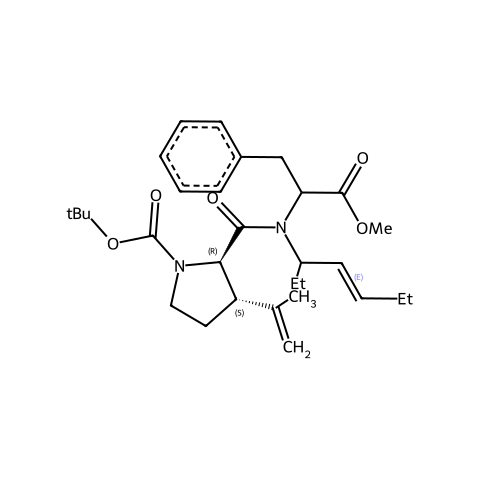 C=C(C)[C@@H]1CCN(C(=O)OC(C)(C)C)[C@H]1C(=O)N(C(/C=C/CC)CC)C(Cc1ccccc1)C(=O)OC